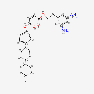 CC1CCC(C2CCC(c3ccc(OC(=O)/C=C\C(=O)OCCc4cc(N)cc(N)c4)cc3)CC2)CC1